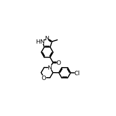 Cc1n[nH]c2ccc(C(=O)N3CCOCC3c3ccc(Cl)cc3)cc12